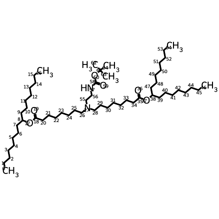 CCCCCCCCC(CCCCCCCC)OC(=O)CCCCCCCN(CCCCCCCC(=O)OC(CCCCCCCC)CCCCCCCC)CCNC(=O)OC(C)(C)C